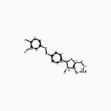 Cc1ccc(CCc2ccc(C3CC4=C(CNCC4)N3C)cc2)cc1F